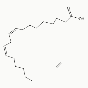 C=C.CCCCC/C=C\C/C=C\CCCCCCCC(=O)O